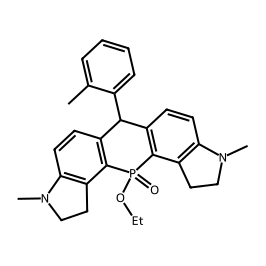 CCOP1(=O)c2c(ccc3c2CCN3C)C(c2ccccc2C)c2ccc3c(c21)CCN3C